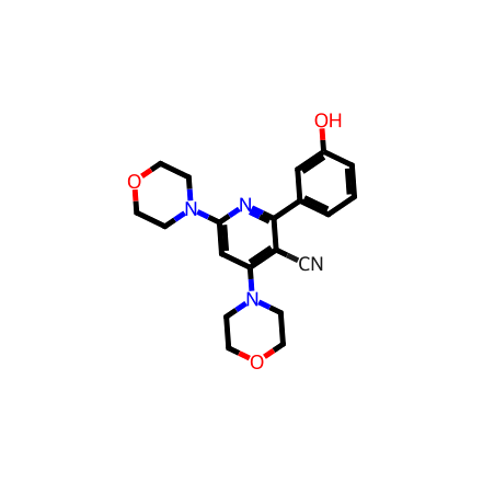 N#Cc1c(N2CCOCC2)cc(N2CCOCC2)nc1-c1cccc(O)c1